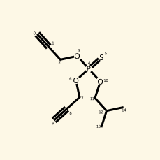 C#CCOP(=S)(OCC#C)OCC(C)C